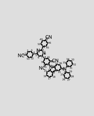 N#Cc1ccc(-c2cc(-c3cc(C#N)c(-n4c5ccccc5c5cc(N(c6ccccc6)c6ccccc6)ccc54)c(C#N)c3)nc(-c3ccc(C#N)cc3)n2)cc1